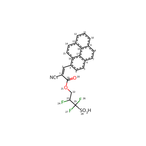 N#C/C(=C/c1ccc2ccc3cccc4ccc1c2c34)C(=O)OCC(F)C(F)(F)S(=O)(=O)O